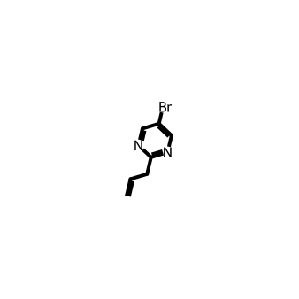 C=CCc1ncc(Br)cn1